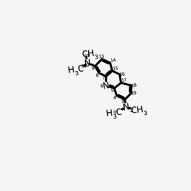 CN(C)C1=CC2=Nc3cc(N(C)C)ccc3CC2C=C1